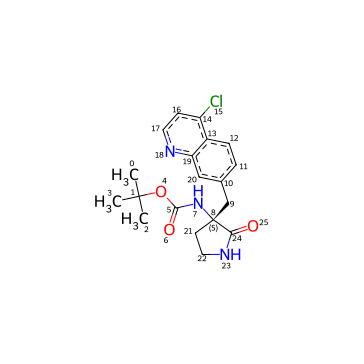 CC(C)(C)OC(=O)N[C@@]1(Cc2ccc3c(Cl)ccnc3c2)CCNC1=O